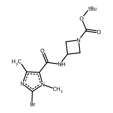 Cc1nc(Br)n(C)c1C(=O)NC1CN(C(=O)OC(C)(C)C)C1